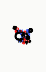 CC(C)Oc1ccc(-c2cc(O[C@@H]3C[C@H]4C(=O)N[C@]5(C(=O)NS(=O)(=O)C6CC6)C[C@H]5/C=C\CCCCC[C@H](NC(=O)OC5CCCC5)C(=O)N4C3)n3nc4ccccc4c3n2)cc1